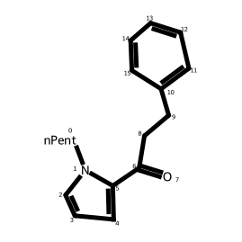 CCCCCn1cccc1C(=O)CCc1ccccc1